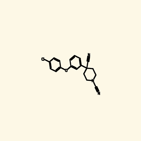 N#CN1CCC(C#N)(c2cccc(Oc3ccc(Cl)cc3)c2)CC1